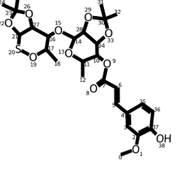 COc1cc(/C=C/C(=O)OC2C(C)OC(OC3C(C)OSC4OC(C)(C)OC43)C3OC(C)(C)OC23)ccc1O